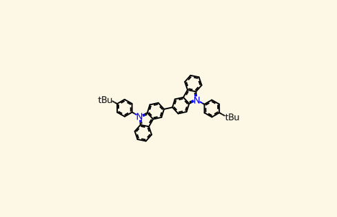 CC(C)(C)c1ccc(-n2c3ccccc3c3cc(-c4ccc5c(c4)c4ccccc4n5-c4ccc(C(C)(C)C)cc4)ccc32)cc1